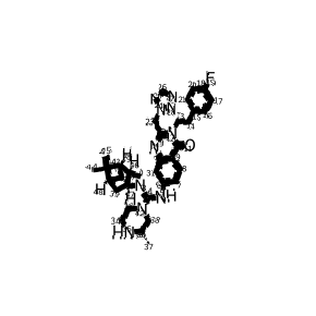 C[C@@H]1[C@@H](N=C(Nc2ccc3c(=O)n(CCc4ccc(F)cc4)c(Cn4ncnn4)nc3c2)N2CCN[C@@H](C)C2)C[C@H]2C[C@@H]1C2(C)C